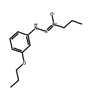 CCCOc1cccc(NN=[N+]([O-])CCC)c1